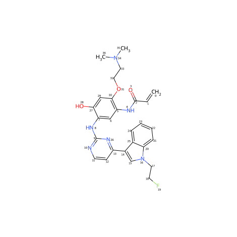 C=CC(=O)Nc1cc(Nc2nccc(-c3cn(CCF)c4ccccc34)n2)c(O)cc1OCCN(C)C